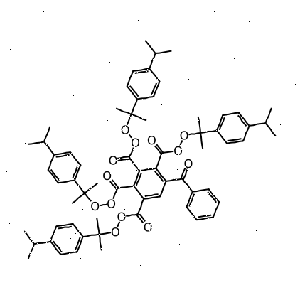 CC(C)c1ccc(C(C)(C)OOC(=O)c2cc(C(=O)c3ccccc3)c(C(=O)OOC(C)(C)c3ccc(C(C)C)cc3)c(C(=O)OOC(C)(C)c3ccc(C(C)C)cc3)c2C(=O)OOC(C)(C)c2ccc(C(C)C)cc2)cc1